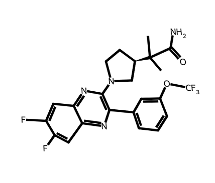 CC(C)(C(N)=O)[C@@H]1CCN(c2nc3cc(F)c(F)cc3nc2-c2cccc(OC(F)(F)F)c2)C1